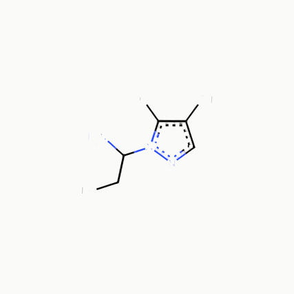 CCC(N)n1n[c]c(C)c1C